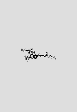 CCCS(=O)(=O)NC1CC(C)(C)Oc2ccc(OCCCC(=O)OCC)cc21